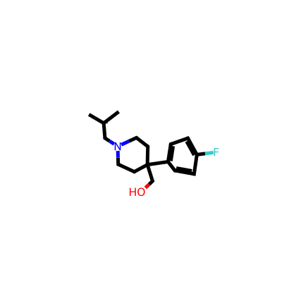 C[C](C)CN1CCC(CO)(c2ccc(F)cc2)CC1